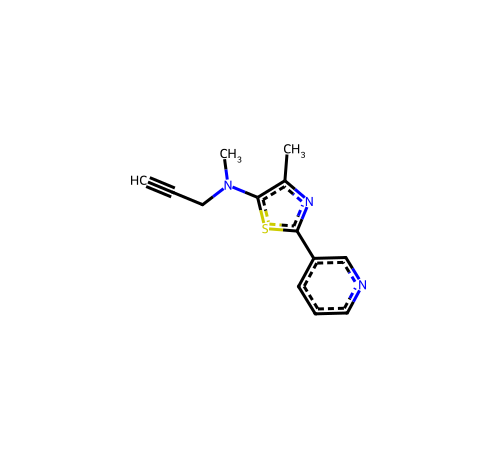 C#CCN(C)c1sc(-c2cccnc2)nc1C